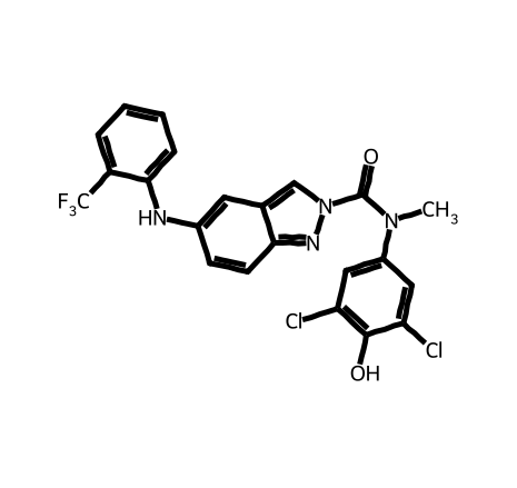 CN(C(=O)n1cc2cc(Nc3ccccc3C(F)(F)F)ccc2n1)c1cc(Cl)c(O)c(Cl)c1